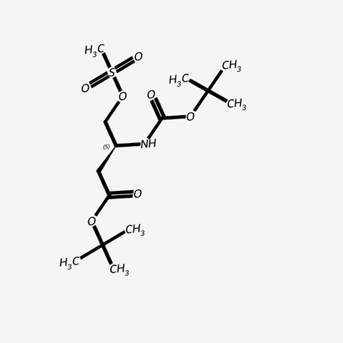 CC(C)(C)OC(=O)C[C@@H](COS(C)(=O)=O)NC(=O)OC(C)(C)C